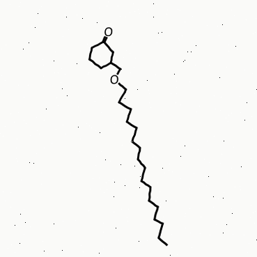 CCCCCCCCCCCCCCCCCOCC1CCCC(=O)C1